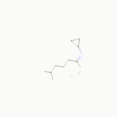 CS/C(CCCC(C)C)=N/C1CC1